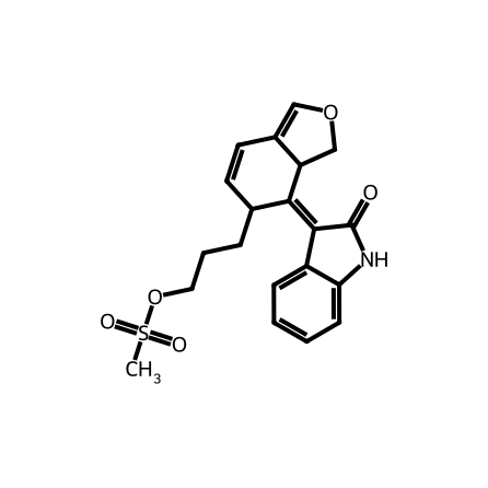 CS(=O)(=O)OCCCC1C=CC2=COCC2C1=C1C(=O)Nc2ccccc21